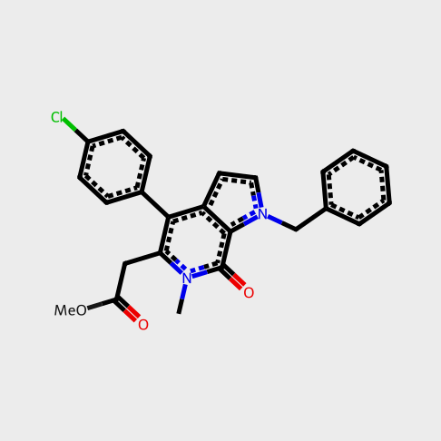 COC(=O)Cc1c(-c2ccc(Cl)cc2)c2ccn(Cc3ccccc3)c2c(=O)n1C